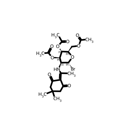 CC(=O)OC[C@H]1O[C@H](Br)[C@@H](NC(C)=C2C(=O)CC(C)(C)CC2=O)[C@@H](OC(C)=O)[C@@H]1OC(C)=O